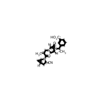 C[C@H](c1cccc(C(=O)O)c1)N1C(=O)[C@@H]2C[C@H]1CN2C[C@H](C)C(=O)N1C2C[C@H]2C[C@H]1C#N